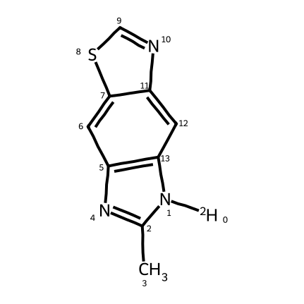 [2H]n1c(C)nc2cc3scnc3cc21